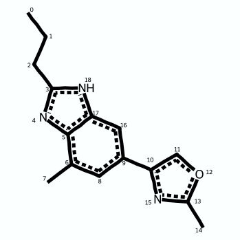 CCCc1nc2c(C)cc(-c3coc(C)n3)cc2[nH]1